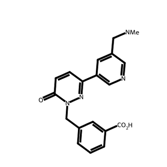 CNCc1cncc(-c2ccc(=O)n(Cc3cccc(C(=O)O)c3)n2)c1